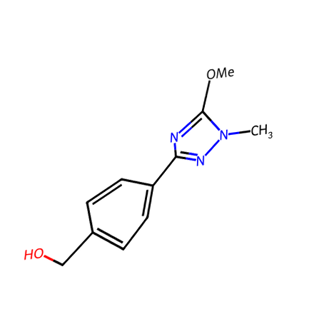 COc1nc(-c2ccc(CO)cc2)nn1C